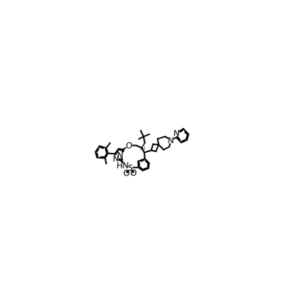 Cc1cccc(C)c1-c1cc2nc(n1)NS(=O)(=O)c1cccc(c1)C(C1CC3(CCN(c4ccccn4)CC3)C1)[C@H](CC(C)(C)C)CO2